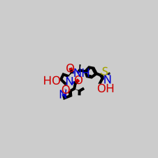 CC(C)[C@@H](C(=O)N1C[C@H](O)C[C@H]1C(=O)N[C@@H](C)c1ccc(-c2scnc2CO)cc1)c1ccno1